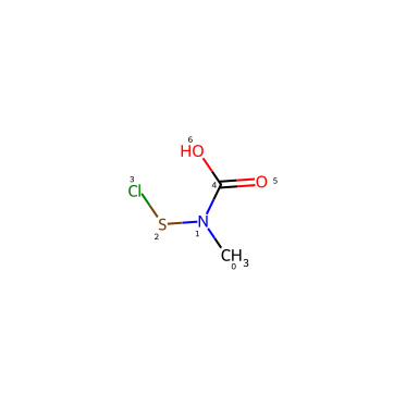 CN(SCl)C(=O)O